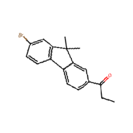 CCC(=O)c1ccc2c(c1)C(C)(C)c1cc(Br)ccc1-2